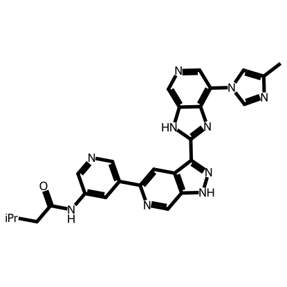 Cc1cn(-c2cncc3[nH]c(-c4n[nH]c5cnc(-c6cncc(NC(=O)CC(C)C)c6)cc45)nc23)cn1